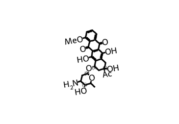 COc1cccc2c1C(=O)c1c(O)c3c(c(O)c1C2=O)C[C@@](O)(C(C)=O)C[C@@H]3O[C@H]1CC(N)[C@H](O)C(C)O1